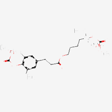 CO[Si](C)(CCCCOC(=O)CCc1cc(C(C)(C)C)c(OC(=O)OC(C)(C)C)c(C(C)(C)C)c1)OC(=O)OC(C)(C)C